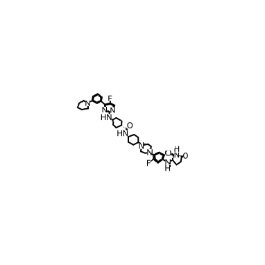 O=C1CCC(Nc2ccc(N3CCN(C4CCC(NC(=O)[C@H]5CC[C@H](Nc6ncc(F)c(-c7cccc(N8CCCCC8)c7)n6)CC5)CC4)CC3)c(F)c2)C(=O)N1